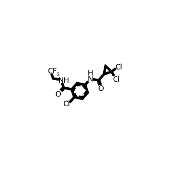 O=C(NCC(F)(F)F)c1cc(NC(=O)C2CC2(Cl)Cl)ccc1Cl